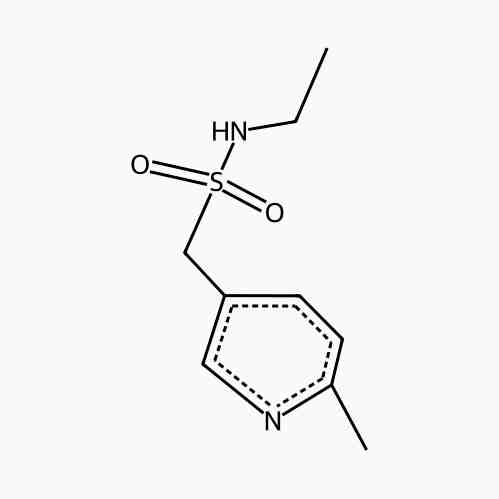 CCNS(=O)(=O)Cc1ccc(C)nc1